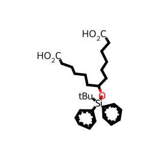 CC(C)(C)[Si](OC(CCCCCC(=O)O)CCCCCC(=O)O)(c1ccccc1)c1ccccc1